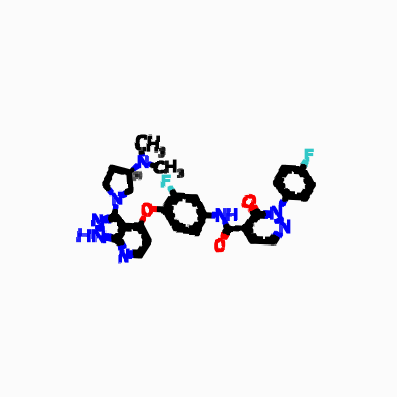 CN(C)[C@@H]1CCN(c2n[nH]c3nccc(Oc4ccc(NC(=O)c5ccnn(-c6ccc(F)cc6)c5=O)cc4F)c23)C1